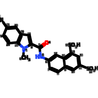 Cn1c(C(=O)Nc2ccc3cc(S(=O)(=O)O)cc(S(=O)(=O)O)c3c2)cc2cc([N+](=O)[O-])ccc21